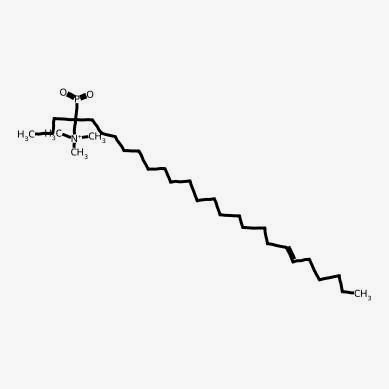 CCCCCC=CCCCCCCCCCCCCCCCCC(CCC)(P(=O)=O)[N+](C)(C)C